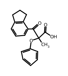 CC(Oc1ccccc1)(C(=O)O)C(=O)c1cccc2c1CCC2